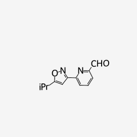 CC(C)c1cc(-c2cccc(C=O)n2)no1